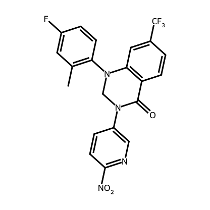 Cc1cc(F)ccc1N1CN(c2ccc([N+](=O)[O-])nc2)C(=O)c2ccc(C(F)(F)F)cc21